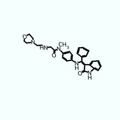 CN(C(=O)CNCCN1CCOCC1)c1ccc(N/C(=C2\C(=O)Nc3ccccc32)c2ccccc2)cc1